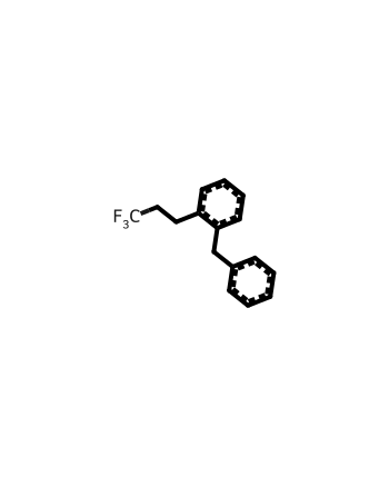 FC(F)(F)CCc1ccccc1Cc1ccccc1